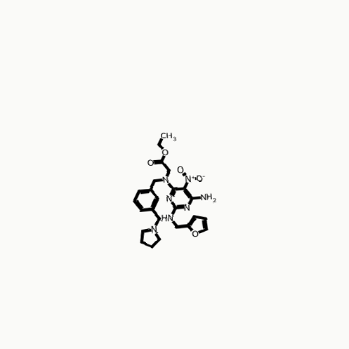 CCOC(=O)CN(Cc1cccc(CN2CCCC2)c1)c1nc(NCc2ccco2)nc(N)c1[N+](=O)[O-]